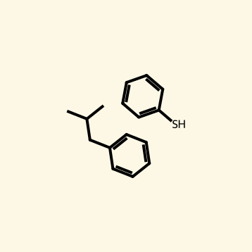 CC(C)Cc1ccccc1.Sc1ccccc1